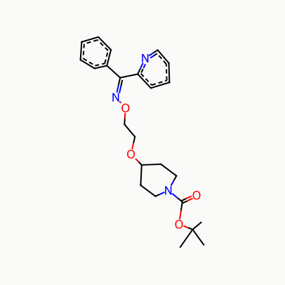 CC(C)(C)OC(=O)N1CCC(OCCO/N=C(/c2ccccc2)c2ccccn2)CC1